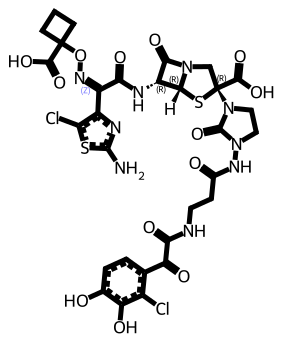 Nc1nc(/C(=N/OC2(C(=O)O)CCC2)C(=O)N[C@@H]2C(=O)N3C[C@@](C(=O)O)(N4CCN(NC(=O)CCNC(=O)C(=O)c5ccc(O)c(O)c5Cl)C4=O)S[C@H]23)c(Cl)s1